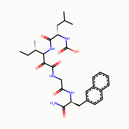 CC[C@H](C)C(NC(=O)[C@H](CC(C)C)NC(=O)O)C(=O)C(=O)NCC(=O)N[C@@H](Cc1ccc2ccccc2c1)C(N)=O